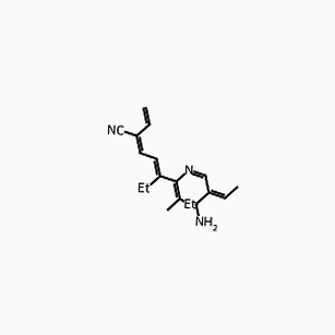 C=C/C(C#N)=C\C=C(/CC)C(/N=C\C(=C/C)CN)=C(C)CC